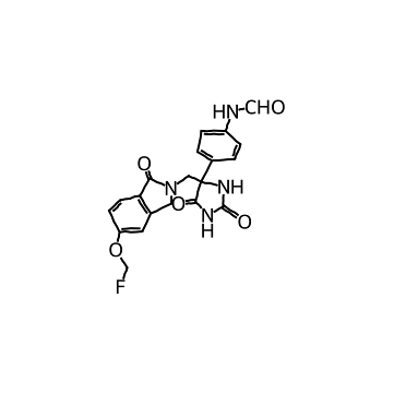 O=CNc1ccc(C2(CN3Cc4cc(OCF)ccc4C3=O)NC(=O)NC2=O)cc1